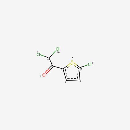 O=C(c1ccc(Cl)s1)C(Cl)Cl